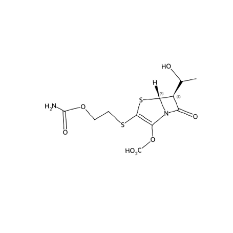 CC(O)[C@H]1C(=O)N2C(OC(=O)O)=C(SCCOC(N)=O)S[C@H]12